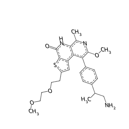 COCCOCCc1cc2c(s1)c(=O)[nH]c1c(C)nc(OC)c(-c3ccc(C(C)CN)cc3)c12